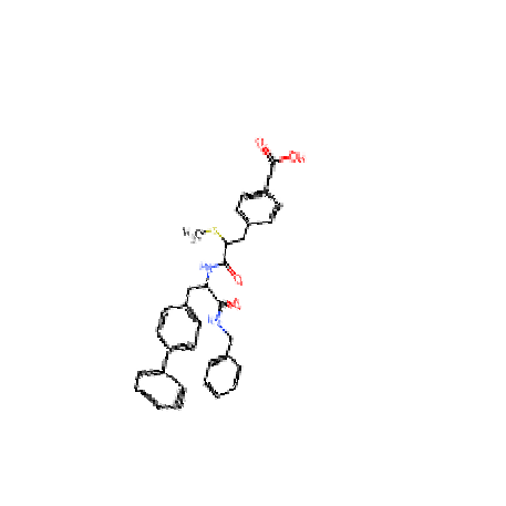 CSC(Cc1ccc(C(=O)O)cc1)C(=O)NC(Cc1ccc(-c2ccccc2)cc1)C(=O)NCc1ccccc1